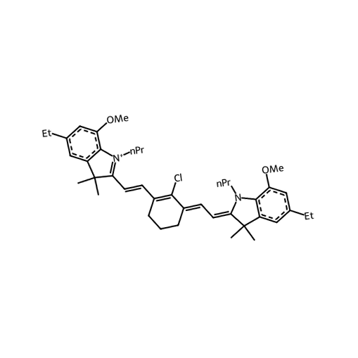 CCCN1/C(=C\C=C2/CCCC(/C=C/C3=[N+](CCC)c4c(OC)cc(CC)cc4C3(C)C)=C2Cl)C(C)(C)c2cc(CC)cc(OC)c21